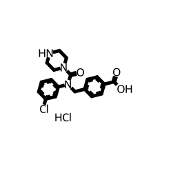 Cl.O=C(O)c1ccc(CN(C(=O)N2CCNCC2)c2cccc(Cl)c2)cc1